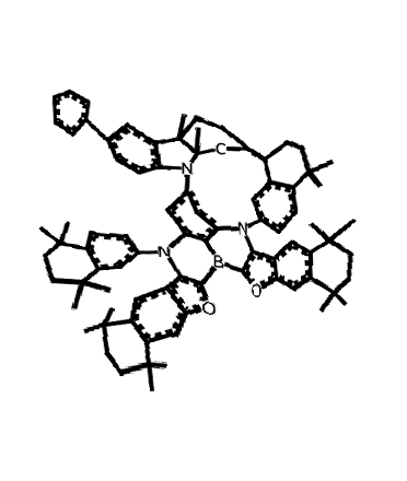 CC1(C)CCC(C)(C)c2cc(N3c4cc5cc6c4B(c4oc7cc8c(cc7c43)C(C)(C)CCC8(C)C)c3oc4cc7c(cc4c3N6c3ccc4c(c3)C(C)(CCC4(C)C)C3CCC4(C)c6cc(-c8ccccc8)ccc6N5C4(C)C3)C(C)(C)CCC7(C)C)ccc21